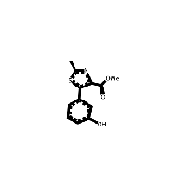 COC(=O)c1nc(C)sc1-c1cccc(O)c1